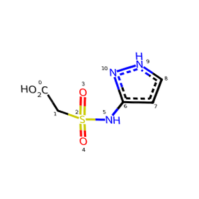 O=C(O)CS(=O)(=O)Nc1cc[nH]n1